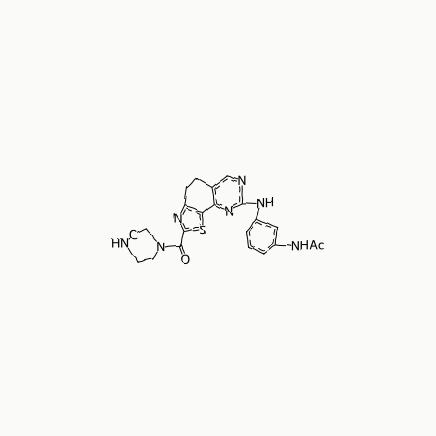 CC(=O)Nc1cccc(Nc2ncc3c(n2)-c2sc(C(=O)N4CCNCC4)nc2CC3)c1